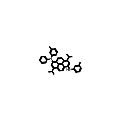 Cc1cccc(Nc2cc(C(C)C)c3ccc4c(N(c5ccccc5)c5cccc(C)c5)cc(C(C)C)c5ccc2c3c54)c1